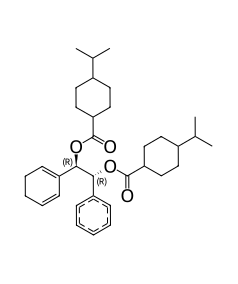 CC(C)C1CCC(C(=O)O[C@H](C2=CCCC=C2)[C@H](OC(=O)C2CCC(C(C)C)CC2)c2ccccc2)CC1